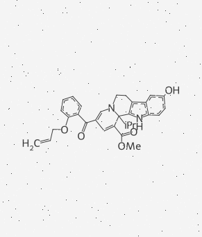 C=CCOc1ccccc1C(=O)C1=CN2CCc3c([nH]c4ccc(O)cc34)C2(C(C)C)C(C(=O)OC)=C1